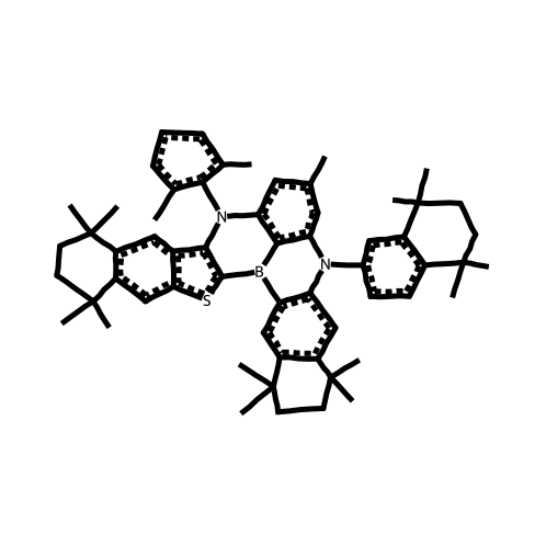 Cc1cc2c3c(c1)N(c1c(C)cccc1C)c1c(sc4cc5c(cc14)C(C)(C)CCC5(C)C)B3c1cc3c(cc1N2c1ccc2c(c1)C(C)(C)CCC2(C)C)C(C)(C)CCC3(C)C